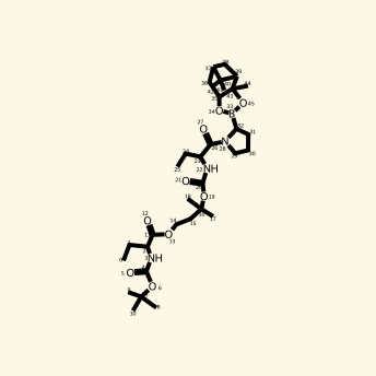 CCC(NC(=O)OC(C)(C)C)C(=O)OCCC(C)(C)OC(=O)NC(CC)C(=O)N1CCCC1B1OC2CC3CC(C3(C)C)C2(C)O1